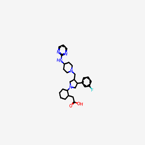 O=C(O)CC1CCCCC1N1CC(CN2CCC(Nc3ncccn3)CC2)C(c2cccc(F)c2)C1